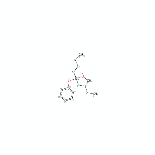 CCCC[Si](CCCC)(OC)Oc1ccccc1